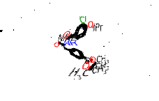 CNC(=O)[C@H](Cc1ccc(B2OC(C)(C)C(C)(C)O2)cc1)NC(=O)c1ccc(OC(C)C)c(Cl)c1